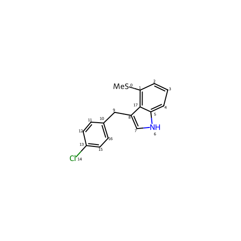 CSc1cccc2[nH]cc(Cc3ccc(Cl)cc3)c12